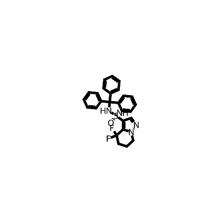 N=S(=O)(NC(c1ccccc1)(c1ccccc1)c1ccccc1)c1cnn2c1C(F)(F)CCC2